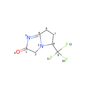 O=C1CN2C(=N1)CCC2C(F)(F)F